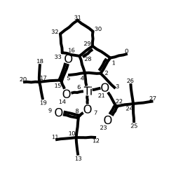 CC1=C(C)[C](C)([Ti]([O]C(=O)C(C)(C)C)([O]C(=O)C(C)(C)C)[O]C(=O)C(C)(C)C)C2=C1CCCC2